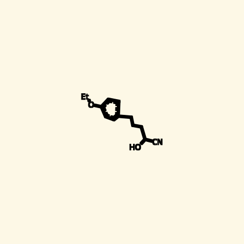 CCOc1ccc(CCCC(O)C#N)cc1